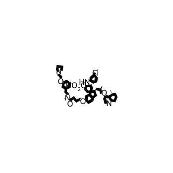 C[C@@H](COc1ccnc2c1[C@H](C)CCC2)C[C@H]1Cc2ccc(OCCCC(=O)N(C)CCc3cccc(OCCN4CCCC4)c3)cc2C12CCC(Nc1cccc(Cl)c1)(C(=O)O)CC2